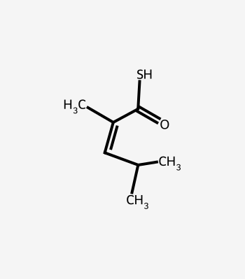 CC(=CC(C)C)C(=O)S